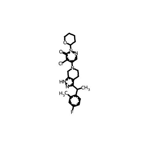 Cc1cc(F)ccc1C(C)c1n[nH]c2c1CCN(c1cnn(C3CCCCO3)c(=O)c1Cl)C2